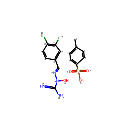 Cc1ccc(S(=O)(=O)O)cc1.N=C(N)N(O)N=Cc1ccc(Br)c(F)c1